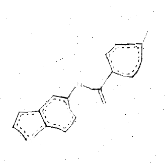 Cc1ccc(C(=O)Nc2ccc3occc3c2)cc1